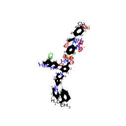 CC(C)c1ccccc1[C@H]1CCCN1C1CC2(CCN(c3ccc(C(=O)NS(=O)(=O)c4cc5c(c([N+](=O)[O-])c4)N[C@@H](C4CCC(C)(O)CC4)CO5)c(Oc4cnc5[nH]cc(Cl)c5c4)c3)CC2)C1